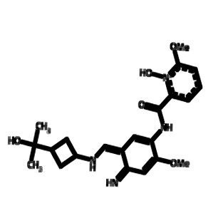 COC1=CC(=N)/C(=C\NC2CC(C(C)(C)O)C2)C=C1NC(=O)c1cccc(OC)[n+]1O